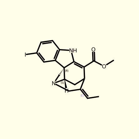 C/C=C1/CN2CC[C@]34C(=C(C(=O)OC)C1C[C@H]23)Nc1ccc(I)cc14